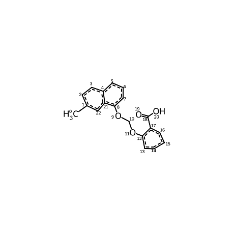 Cc1ccc2cccc(OCOc3ccccc3C(=O)O)c2c1